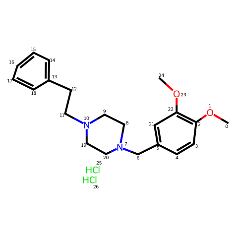 COc1ccc(CN2CCN(CCc3ccccc3)CC2)cc1OC.Cl.Cl